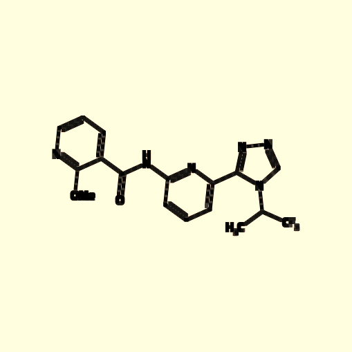 COc1ncccc1C(=O)Nc1cccc(-c2nncn2C(C)C(F)(F)F)n1